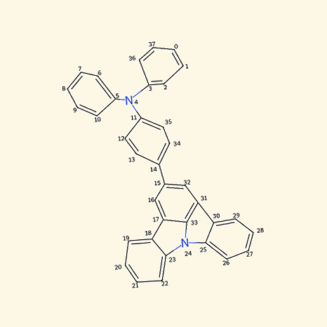 c1ccc(N(c2ccccc2)c2ccc(-c3cc4c5ccccc5n5c6ccccc6c(c3)c45)cc2)cc1